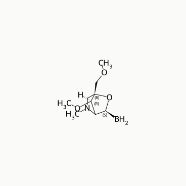 B[C@@H]1O[C@@]2(COC)CN(C)C1[C@H]2OC